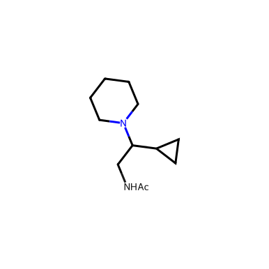 CC(=O)NCC(C1CC1)N1CCCCC1